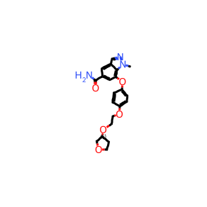 Cn1ncc2cc(C(N)=O)cc(Oc3ccc(OCCO[C@H]4CCOC4)cc3)c21